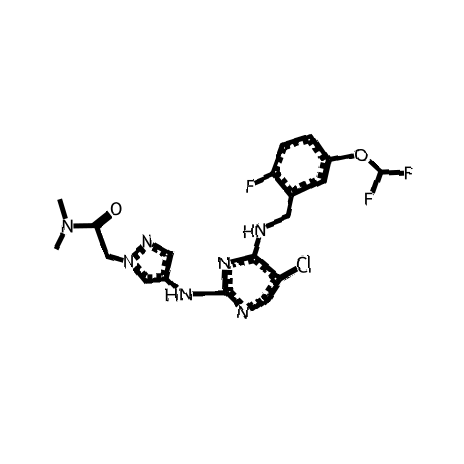 CN(C)C(=O)Cn1cc(Nc2ncc(Cl)c(NCc3cc(OC(F)F)ccc3F)n2)cn1